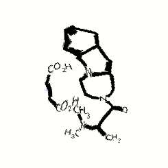 CC(C(=O)N1CCn2c(cc3ccccc32)C1)N(C)C.O=C(O)/C=C\C(=O)O